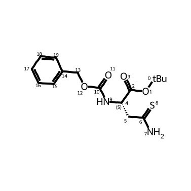 CC(C)(C)OC(=O)[C@H](CC(N)=S)NC(=O)OCc1ccccc1